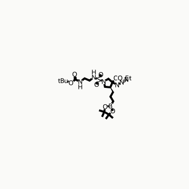 CCOC(=O)C1(N=[N+]=[N-])CN(S(=O)(=O)NCCNC(=O)OC(C)(C)C)C[C@@H]1CCCB1OC(C)(C)C(C)(C)O1